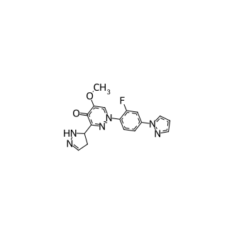 COc1cn(-c2ccc(-n3cccn3)cc2F)nc(C2CC=NN2)c1=O